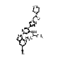 CC(C)Nc1cc(-n2ncc3cc(C#N)cnc32)ncc1-c1cn(CC(=O)N2CCNCC2)nn1